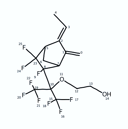 C=C1C(=CC)C2CC1C(F)(C(OCCO)(C(F)(F)F)C(F)(F)F)C2(F)F